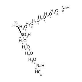 Cl.O.O.O.O.O.O.O.O.O.O.O=S(=O)(O)O.[NaH].[NaH]